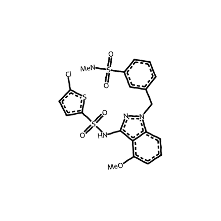 CNS(=O)(=O)c1cccc(Cn2nc(NS(=O)(=O)c3ccc(Cl)s3)c3c(OC)cccc32)c1